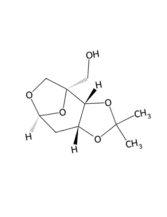 CC1(C)O[C@@H]2[C@@H](C[C@H]3OC[C@]2(CO)O3)O1